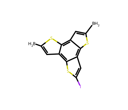 Bc1cc2c(s1)c1cc(B)sc1c1cc(I)sc21